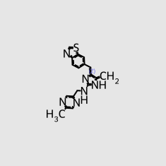 C=c1[nH]c(NCc2cnc(C)cn2)n/c1=C\c1ccc2ncsc2c1